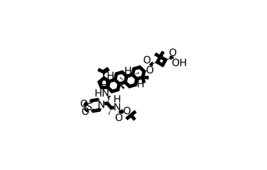 C=C(C)[C@@H]1CC[C@]2(NC[C@H]([C@@H](C)NC(=O)OC(C)(C)C)N3CCS(=O)(=O)CC3)CC[C@]3(C)[C@H](CC[C@@H]4[C@@]5(C)CC[C@H](OC(=O)[C@H]6C[C@@H](C(=O)O)C6(C)C)C(C)(C)[C@@H]5CC[C@]43C)[C@@H]12